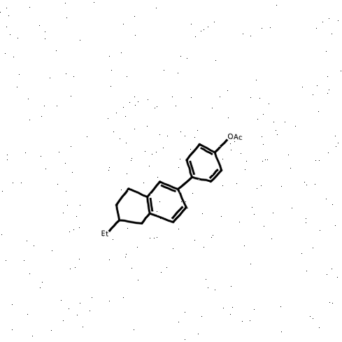 CCC1CCc2cc(-c3ccc(OC(C)=O)cc3)ccc2C1